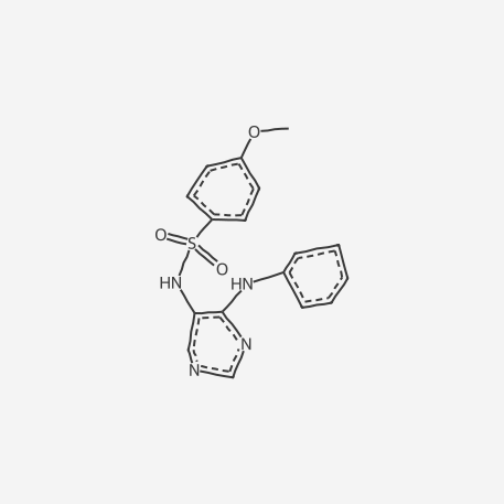 COc1ccc(S(=O)(=O)Nc2cncnc2Nc2ccccc2)cc1